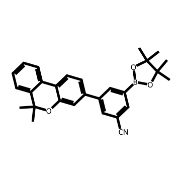 CC1(C)Oc2cc(-c3cc(C#N)cc(B4OC(C)(C)C(C)(C)O4)c3)ccc2-c2ccccc21